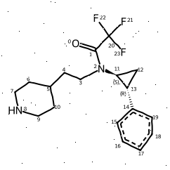 O=C(N(CCC1CCNCC1)[C@H]1C[C@@H]1c1ccccc1)C(F)(F)F